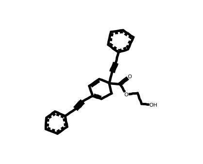 O=C(OCCO)C1(C#Cc2ccccc2)C=CC(C#Cc2ccccc2)=CC1